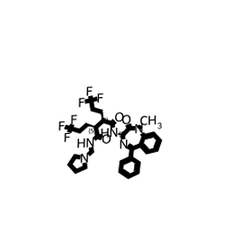 CN1C(=O)[C@@H](NC(=O)[C@H](CCC(F)(F)F)[C@H](CCC(F)(F)F)C(=O)NCN2CCCC2)N=C(c2ccccc2)c2ccccc21